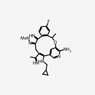 CN/N=C1/C/C(C(C)=N)=C(/NCC2CC2)c2cnc(N)c(c2)OC(C)c2cc(F)ccc2C1=N